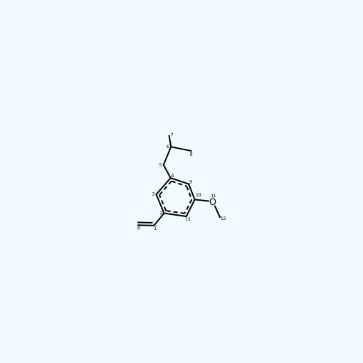 C=[C]c1cc(CC(C)C)cc(OC)c1